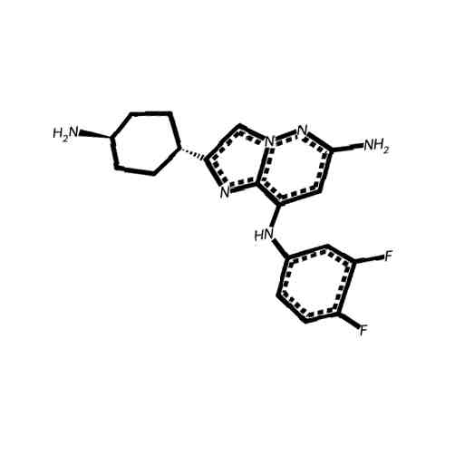 Nc1cc(Nc2ccc(F)c(F)c2)c2nc([C@H]3CC[C@H](N)CC3)cn2n1